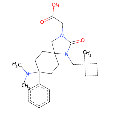 CN(C)C1(c2ccccc2)CCC2(CC1)CN(CC(=O)O)C(=O)N2CC1(C)CCC1